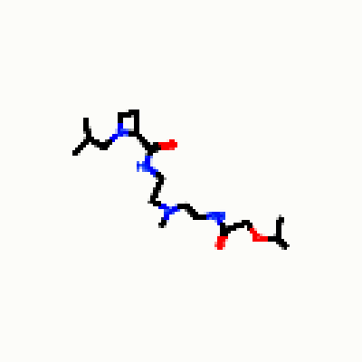 CC(C)CN1CCC1C(=O)NCCN(C)CCNC(=O)COC(C)C